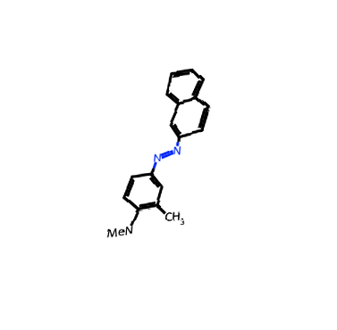 CNc1ccc(N=Nc2ccc3ccccc3c2)cc1C